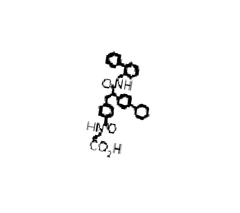 O=C(O)CCNC(=O)c1ccc(CC(C(=O)NCc2ccccc2-c2ccccc2)c2ccc(C3CCCCC3)cc2)cc1